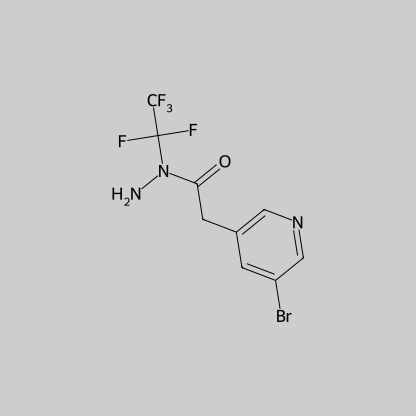 NN(C(=O)Cc1cncc(Br)c1)C(F)(F)C(F)(F)F